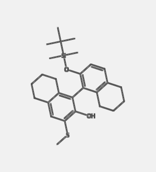 CSc1cc2c(c(-c3c(O[Si](C)(C)C(C)(C)C)ccc4c3CCCC4)c1O)CCCC2